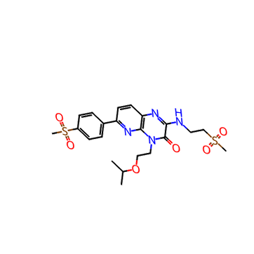 CC(C)OCCn1c(=O)c(NCCS(C)(=O)=O)nc2ccc(-c3ccc(S(C)(=O)=O)cc3)nc21